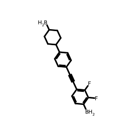 Bc1ccc(C#Cc2ccc(C3CCC(B)CC3)cc2)c(F)c1F